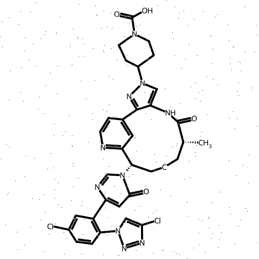 C[C@@H]1CCC[C@H](n2cnc(-c3cc(Cl)ccc3-n3cc(Cl)nn3)cc2=O)c2cc(ccn2)-c2nn(C3CCN(C(=O)O)CC3)cc2NC1=O